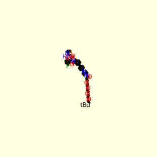 CC(C)(C)CCOCCOCCOCCOCCC(=O)N1CCN(c2ccc(-c3ccc4c(c3)C(=O)N(C(C(=O)Nc3nccs3)c3cc(F)ccc3O)C4)cc2)CC1